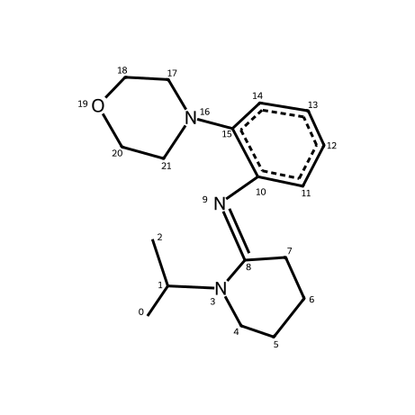 CC(C)N1CCCC/C1=N\c1ccccc1N1CCOCC1